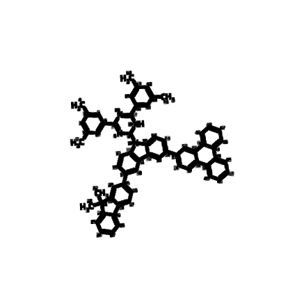 Cc1cc(C)cc(C2=NC(n3c4ccc(-c5ccc6c(c5)C(C)(C)c5ccccc5-6)cc4c4cc(-c5ccc6c7ccccc7c7ccccc7c6c5)ccc43)NC(c3cc(C)cc(C)c3)=N2)c1